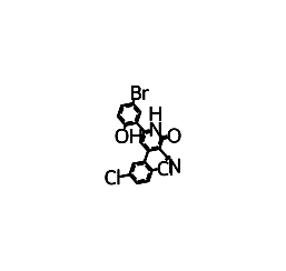 N#Cc1c(-c2cc(Cl)ccc2Cl)cc(-c2cc(Br)ccc2O)[nH]c1=O